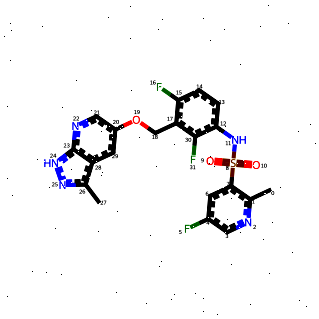 Cc1ncc(F)cc1S(=O)(=O)Nc1ccc(F)c(COc2cnc3[nH]nc(C)c3c2)c1F